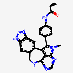 C=CC(=O)Nc1ccc(-c2c3c4c(ncnc4n2C)NCc2cc4[nH]nnc4cc2-3)cc1